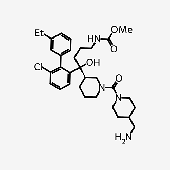 CCc1cccc(-c2c(Cl)cccc2C(O)(CCCNC(=O)OC)[C@@H]2CCCN(C(=O)N3CCC(CN)CC3)C2)c1